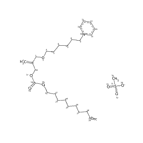 C=C(COCCCCCC[n+]1ccccc1)COC(=O)OCCCCCCCCCCCCCCCCCC.CS(=O)(=O)[O-]